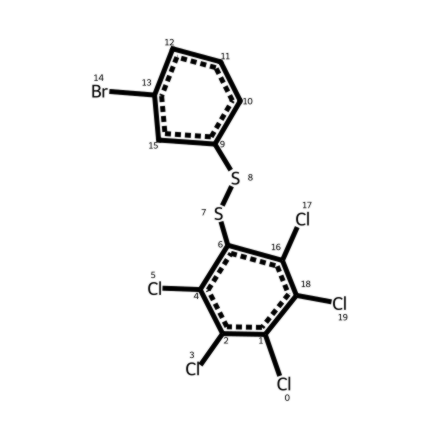 Clc1c(Cl)c(Cl)c(SSc2cccc(Br)c2)c(Cl)c1Cl